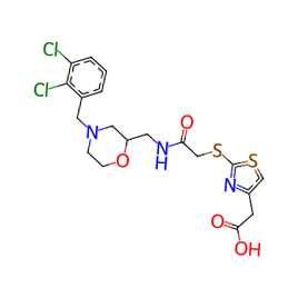 O=C(O)Cc1csc(SCC(=O)NCC2CN(Cc3cccc(Cl)c3Cl)CCO2)n1